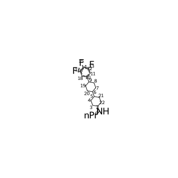 CCCNC1CCC(C2CCC(c3cc(F)c(F)c(F)c3)CC2)CC1